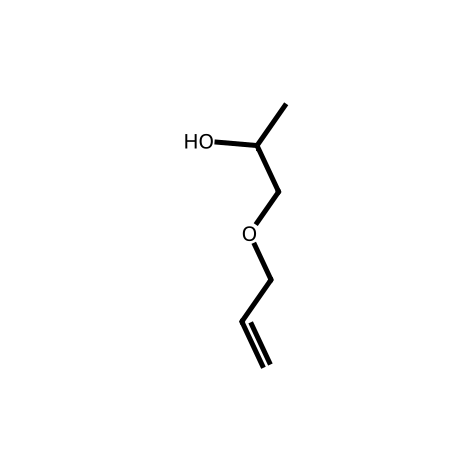 C=CCOC[C](C)O